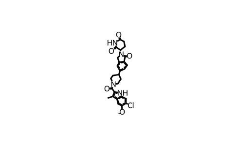 COc1cc2c(C)c(C(=O)N3CCC(c4ccc5c(c4)CN(C4CCC(=O)NC4=O)C5=O)CC3)[nH]c2cc1Cl